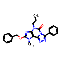 CCCn1c(=O)n2c(-c3ccccc3)nnc2c2c1nc(OCc1ccccc1)n2C